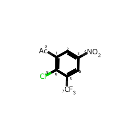 CC(=O)c1cc([N+](=O)[O-])cc(C(F)(F)F)c1Cl